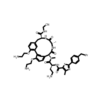 Cc1nc(-c2ccc(CC(C)C)cc2)sc1C(=O)N[C@@H](CCN)C(=O)N(C)[C@@H]1C(=O)N[C@@H](C)C(=O)N[C@H](C(=O)NCC#N)Cc2ccc(OCCN)c(c2)-c2cc1ccc2OCCN